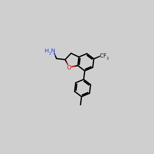 Cc1ccc(-c2cc(C(F)(F)F)cc3c2OC(CN)C3)cc1